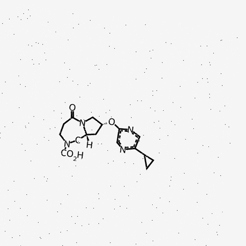 O=C(O)N1CCC(=O)N2C[C@H](Oc3cnc(C4CC4)cn3)C[C@@H]2C1